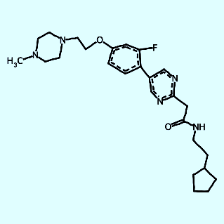 CN1CCN(CCOc2ccc(-c3cnc(CC(=O)NCCC4CCCC4)nc3)c(F)c2)CC1